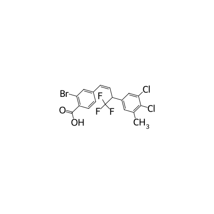 Cc1cc(C(/C=C\c2ccc(C(=O)O)c(Br)c2)C(F)(F)F)cc(Cl)c1Cl